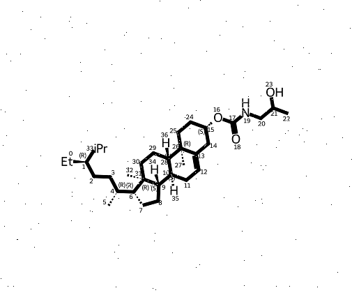 CC[C@H](CC[C@@H](C)[C@H]1CC[C@H]2[C@@H]3CC=C4C[C@@H](OC(=O)NCC(C)O)CC[C@]4(C)[C@H]3CC[C@]12C)C(C)C